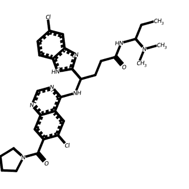 CCC(NC(=O)CCC(Nc1ncnc2cc(C(=O)N3CCCC3)c(Cl)cc12)c1nc2cc(Cl)ccc2[nH]1)N(C)C